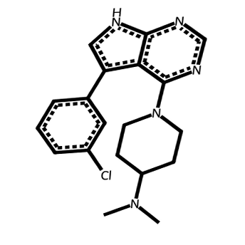 CN(C)C1CCN(c2ncnc3[nH]cc(-c4cccc(Cl)c4)c23)CC1